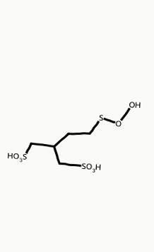 O=S(=O)(O)CC(CCSOO)CS(=O)(=O)O